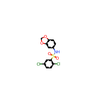 O=S(=O)(Nc1ccc2c(c1)OCO2)c1cc(Cl)ccc1Cl